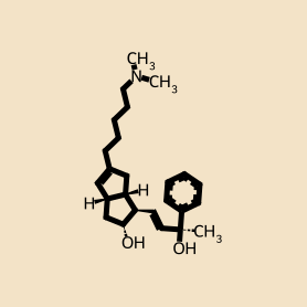 CN(C)CCCCCC1=C[C@H]2C[C@@H](O)[C@H](/C=C/[C@](C)(O)c3ccccc3)[C@H]2C1